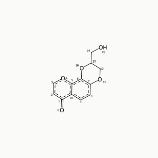 O=c1ccoc2c3c(ccc12)OCC(CO)O3